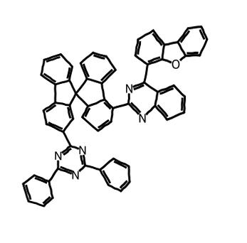 c1ccc(-c2nc(-c3ccccc3)nc(-c3ccc4c(c3)C3(c5ccccc5-4)c4ccccc4-c4c(-c5nc(-c6cccc7c6oc6ccccc67)c6ccccc6n5)cccc43)n2)cc1